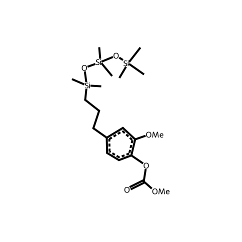 COC(=O)Oc1ccc(CCC[Si](C)(C)O[Si](C)(C)O[Si](C)(C)C)cc1OC